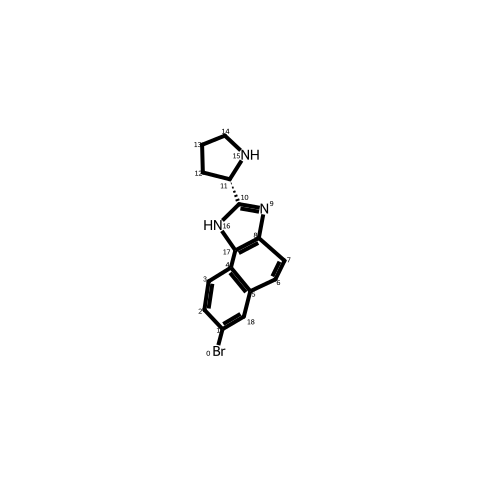 Brc1ccc2c(ccc3nc([C@@H]4CCCN4)[nH]c32)c1